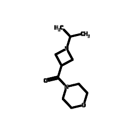 CC(C)N1CC(C(=O)N2CCOCC2)C1